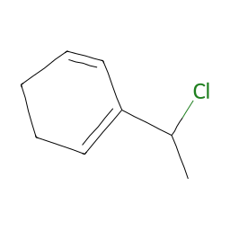 CC(Cl)C1=CCCC=C1